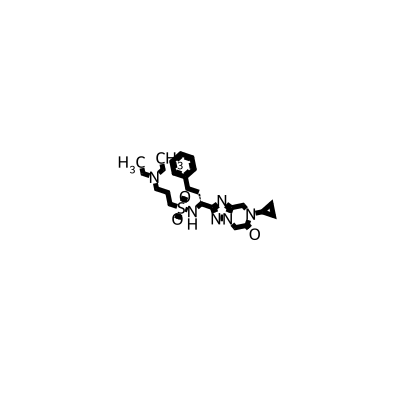 CCN(CC)CCCS(=O)(=O)N[C@H](CCc1ccccc1)c1nc2n(n1)CC(=O)N(C1CC1)C2